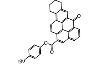 CCC(C)c1ccc(OC(=O)c2cc3cccc4c3c3c2ccc2c5c(cc(c23)C4=O)CCCC5)cc1